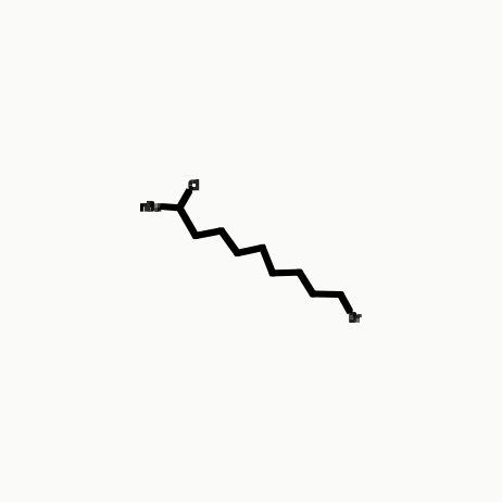 CCCCC(Cl)CCCCCCCCBr